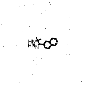 CC1(C)NNN=C1c1ccc2ccccc2c1